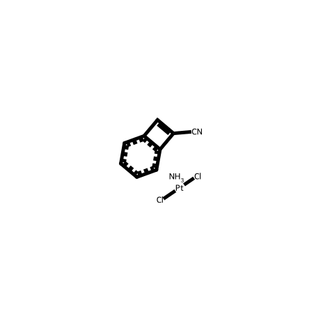 N.N#CC1=Cc2ccccc21.[Cl][Pt][Cl]